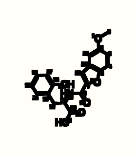 COc1ccc2oc(C(=O)N[C@@H](Cc3ccccc3O)C(=O)O)cc2c1